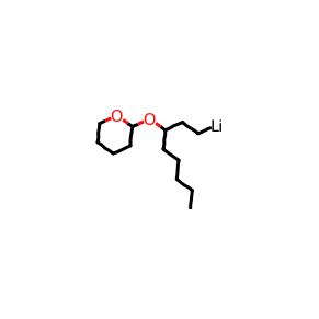 [Li][CH2]CC(CCCCC)OC1CCCCO1